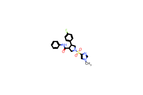 Cn1cnc(S(=O)(=O)N2CC(C(=O)Nc3ccccc3)C(c3ccc(F)cc3)C2)c1